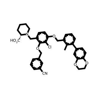 Cc1c(COc2ccc(CN3CCCC[C@H]3C(=O)O)c(OCc3cccc(C#N)c3)c2Cl)cccc1-c1ccc2c(c1)OCCO2